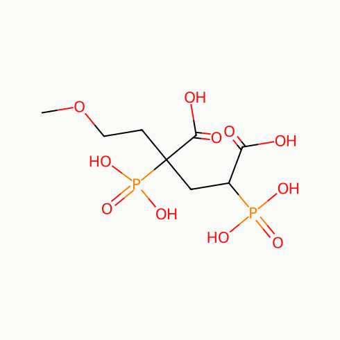 COCCC(CC(C(=O)O)P(=O)(O)O)(C(=O)O)P(=O)(O)O